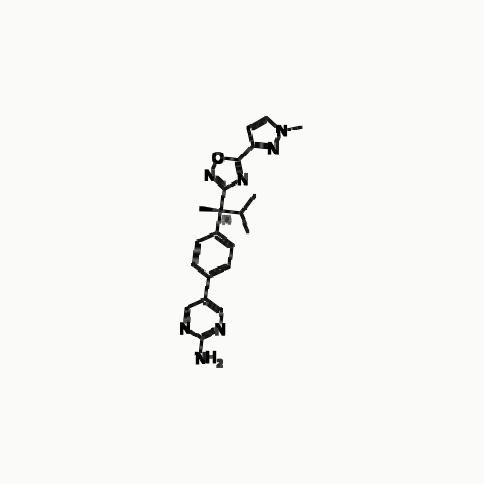 CC(C)[C@](C)(c1ccc(-c2cnc(N)nc2)cc1)c1noc(-c2ccn(C)n2)n1